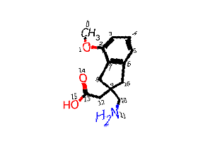 COc1cccc2c1CC(CN)(CC(=O)O)C2